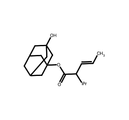 C/C=C/C(C(=O)OC12CC3CC(CC(O)(C3)C1)C2)C(C)C